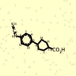 O=C(O)C1CCC(c2ccc(N=C=S)cc2)CC1